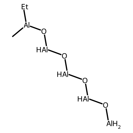 C[CH2][Al]([CH3])[O][AlH][O][AlH][O][AlH][O][AlH2]